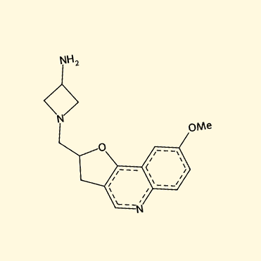 COc1ccc2ncc3c(c2c1)OC(CN1CC(N)C1)C3